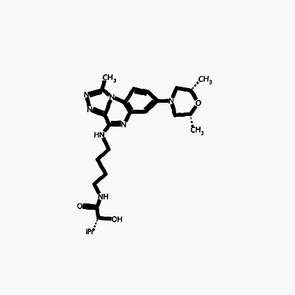 Cc1nnc2c(NCCCCNC(=O)[C@H](O)C(C)C)nc3cc(N4C[C@@H](C)O[C@@H](C)C4)ccc3n12